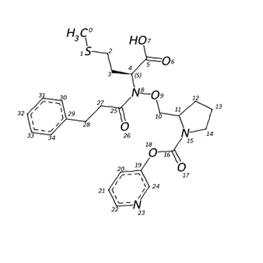 CSCC[C@@H](C(=O)O)N(OCC1CCCN1C(=O)Oc1cccnc1)C(=O)CCc1ccccc1